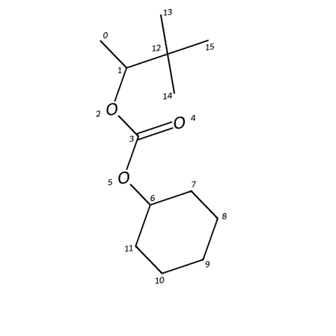 CC(OC(=O)OC1CCCCC1)C(C)(C)C